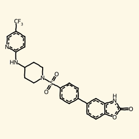 O=c1[nH]c2cc(-c3ccc(S(=O)(=O)N4CCC(Nc5ccc(C(F)(F)F)cn5)CC4)cc3)ccc2o1